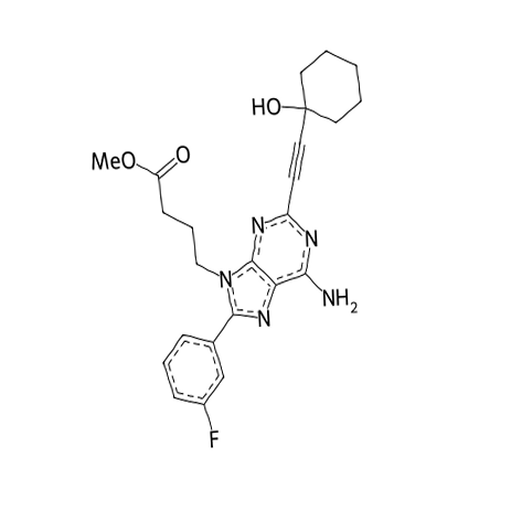 COC(=O)CCCn1c(-c2cccc(F)c2)nc2c(N)nc(C#CC3(O)CCCCC3)nc21